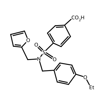 CCOc1ccc(CN(Cc2ccco2)S(=O)(=O)c2ccc(C(=O)O)cc2)cc1